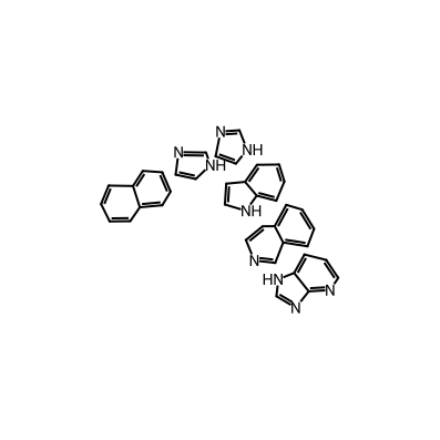 c1c[nH]cn1.c1c[nH]cn1.c1ccc2[nH]ccc2c1.c1ccc2ccccc2c1.c1ccc2cnccc2c1.c1cnc2nc[nH]c2c1